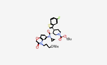 COCCCN1C(=O)COc2ccc(N(C(=O)[C@H]3CN(C(=O)OC(C)(C)C)CC[C@@H]3c3csc4ccc(F)cc34)C3CC3)cc21